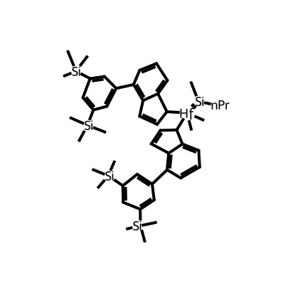 CCC[Si](C)=[Hf]([CH3])([CH3])([CH]1C=Cc2c(-c3cc([Si](C)(C)C)cc([Si](C)(C)C)c3)cccc21)[CH]1C=Cc2c(-c3cc([Si](C)(C)C)cc([Si](C)(C)C)c3)cccc21